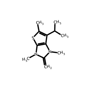 C=C1N(C)c2sc(C)c(C(C)C)c2N1C